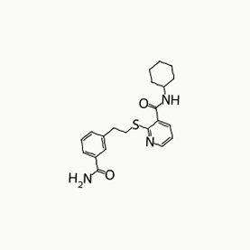 NC(=O)c1cccc(CCSc2ncccc2C(=O)NC2CCCCC2)c1